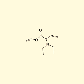 C=COC(=O)C(C=C)N(CC)CC